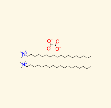 CCCCCCCCCCCCCCCCCC[N+](C)(C)C.CCCCCCCCCCCCCCCCCC[N+](C)(C)C.O=C([O-])C(=O)[O-]